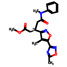 COC(=O)C[C@H](CC(=O)N(C)c1ccccc1)c1noc(-c2noc(C)n2)c1C